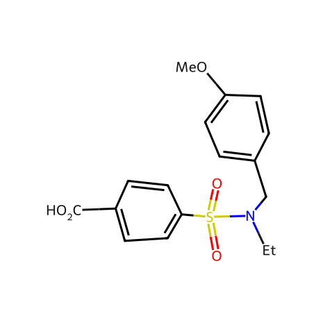 CCN(Cc1ccc(OC)cc1)S(=O)(=O)c1ccc(C(=O)O)cc1